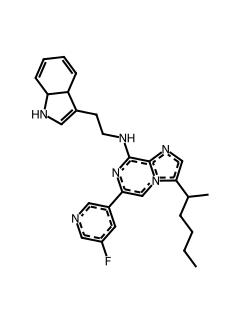 CCCCC(C)c1cnc2c(NCCC3=CNC4C=CC=CC34)nc(-c3cncc(F)c3)cn12